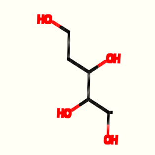 O[CH]C(O)C(O)CCO